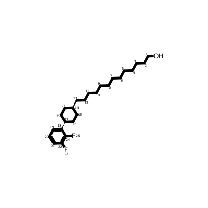 OCCCCCCCCCCCCC[C@H]1CC[C@H](c2cccc(F)c2F)CC1